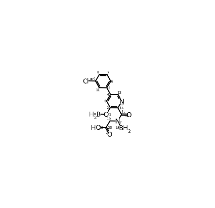 BOc1cc(-c2cccc(Cl)c2)cnc1C(=O)N(B)CC(=O)O